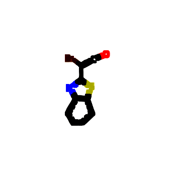 O=C=C(Br)c1nc2ccccc2s1